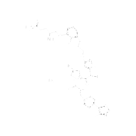 Cc1ncsc1-c1ccc(CNC(=O)[C@@H]2C[C@@H](O)CN2C(=O)C(c2cc(OCCCc3cccc(OCC(N)CCC(N)=O)c3Cl)no2)C(C)C)cc1.Cl